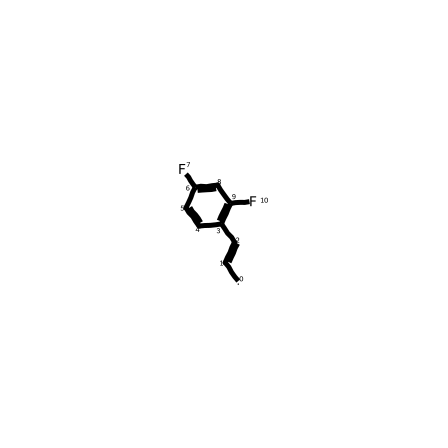 [CH2]C=Cc1ccc(F)cc1F